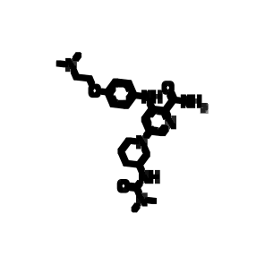 CN(C)CCOc1ccc(Nc2cc(N3CCCC(NC(=O)N(C)C)C3)cnc2C(N)=O)cc1